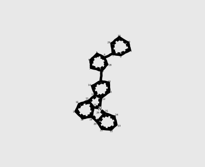 c1ccc(-c2cccc(-c3ccc4c(c3)c3cccc5c6ccccc6n4c53)c2)cc1